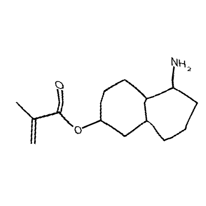 C=C(C)C(=O)OC1CCC2C(N)CCCC2C1